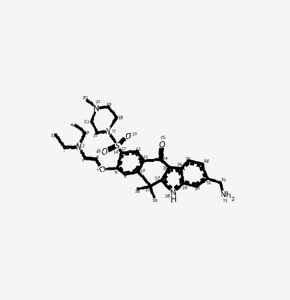 CCN(CC)CCOc1cc2c(cc1S(=O)(=O)N1CCN(C)CC1)C(=O)c1c([nH]c3cc(CN)ccc13)C2(C)C